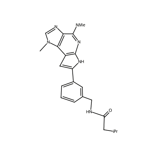 CNc1nc2[nH]c(-c3cccc(CNC(=O)CC(C)C)c3)cc2c2c1ncn2C